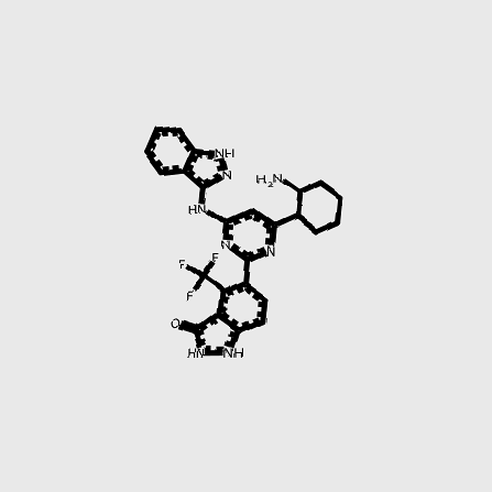 NC1CCCCC1c1cc(Nc2n[nH]c3ccccc23)nc(-c2ccc3[nH][nH]c(=O)c3c2C(F)(F)F)n1